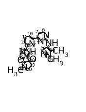 Cc1c(Nc2nccc(-c3cccc(-c4cc(C5(O)CCN(C)C5=O)on4)n3)n2)cnn1C